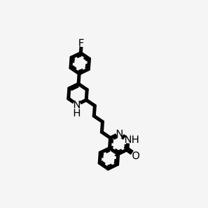 O=c1[nH]nc(CCCCC2CC(c3ccc(F)cc3)=CCN2)c2ccccc12